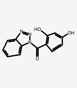 O=C(c1ccc(O)cc1O)n1nnc2ccccc21